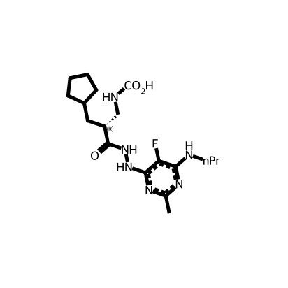 CCCNc1nc(C)nc(NNC(=O)[C@@H](CNC(=O)O)CC2CCCC2)c1F